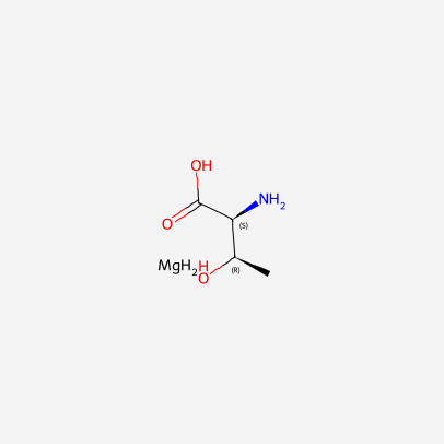 C[C@@H](O)[C@H](N)C(=O)O.[MgH2]